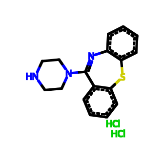 Cl.Cl.c1ccc2c(c1)N=C(N1CCNCC1)c1ccccc1S2